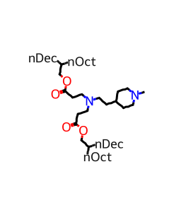 CCCCCCCCCCC(CCCCCCCC)COC(=O)CCN(CCC(=O)OCC(CCCCCCCC)CCCCCCCCCC)CCC1CCN(C)CC1